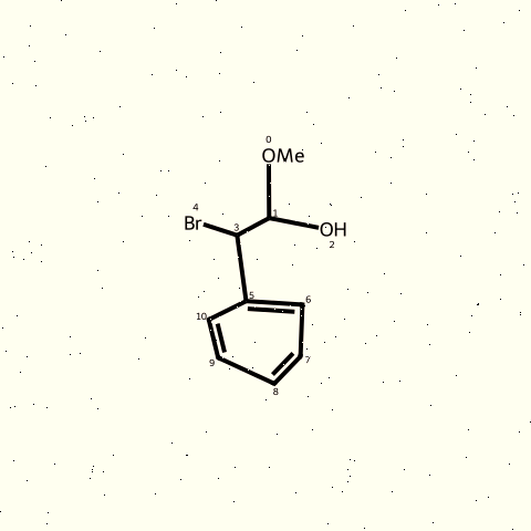 COC(O)C(Br)c1ccccc1